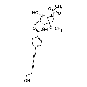 COC1(C(NC(=O)c2ccc(C#CC#CCCO)cc2)C(=O)NO)CN(S(C)(=O)=O)C1